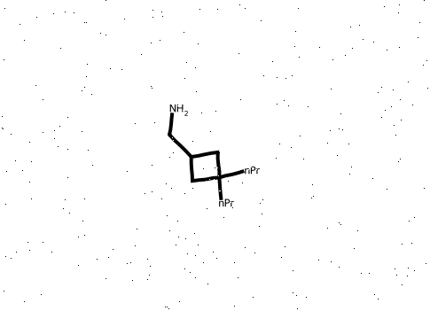 CCCC1(CCC)CC(CN)C1